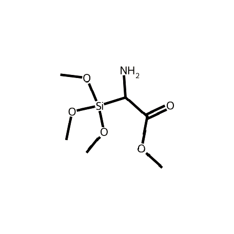 COC(=O)C(N)[Si](OC)(OC)OC